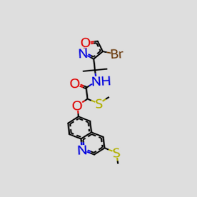 CSc1cnc2ccc(OC(SC)C(=O)NC(C)(C)c3nocc3Br)cc2c1